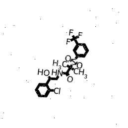 CC(C)(C(=O)NCC(O)c1ccccc1Cl)S(=O)(=O)c1cccc(C(F)(F)F)c1